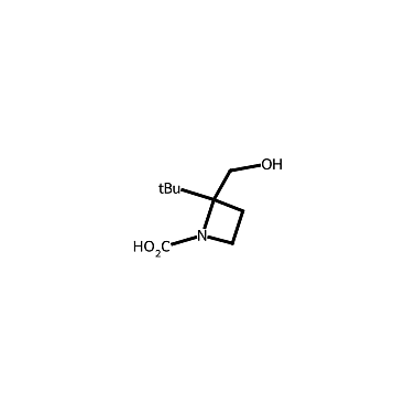 CC(C)(C)C1(CO)CCN1C(=O)O